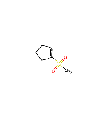 CS(=O)(=O)C1=CCCC1